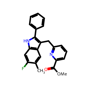 COC(=O)c1cccc(Cc2c(-c3ccccc3)[nH]c3cc(F)c(C)cc23)n1